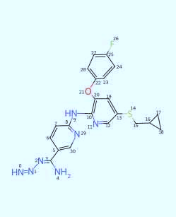 N=N/N=C(\N)c1ccc(Nc2ncc(SCC3CC3)cc2Oc2ccc(F)cc2)nc1